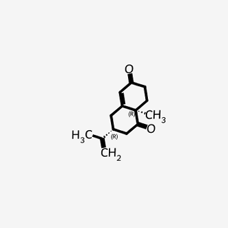 C=C(C)[C@H]1CC(=O)[C@]2(C)CCC(=O)C=C2C1